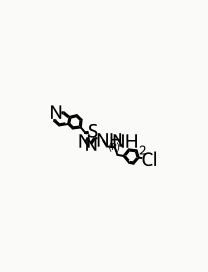 N[C@@H](CNc1nnc(-c2ccc3cnccc3c2)s1)Cc1ccc(Cl)cc1